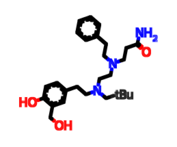 CC(C)(C)CN(CCc1ccc(O)c(CO)c1)CCN(CCC(N)=O)CCc1ccccc1